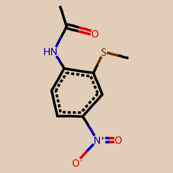 CSc1cc([N+](=O)[O-])ccc1NC(C)=O